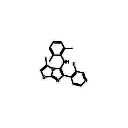 Cc1cccc(C)c1Nc1c(-c2ccncc2F)nc2scc(C)n12